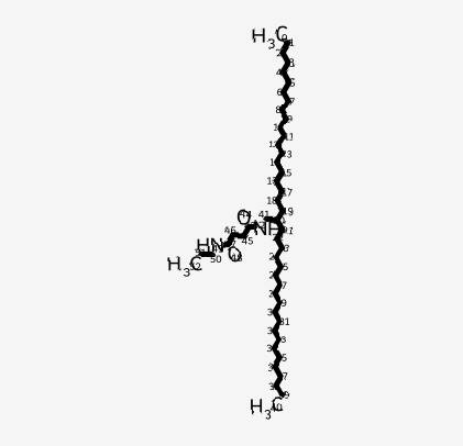 CCCCCCCCCCCCCCCCCCCCC(CCCCCCCCCCCCCCCCCCCC)CNC(=O)CCC(=O)NCCC